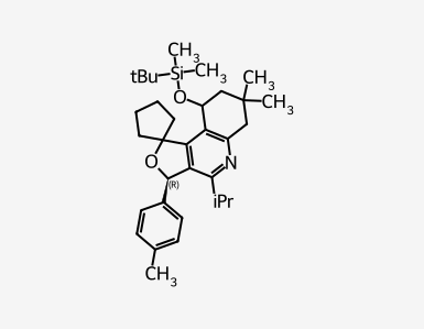 Cc1ccc([C@H]2OC3(CCCC3)c3c4c(nc(C(C)C)c32)CC(C)(C)CC4O[Si](C)(C)C(C)(C)C)cc1